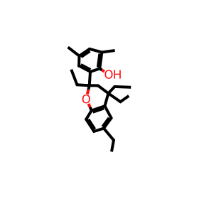 CCc1ccc2c(c1)C(CC)(CC)CC(CC)(c1cc(C)cc(C)c1O)O2